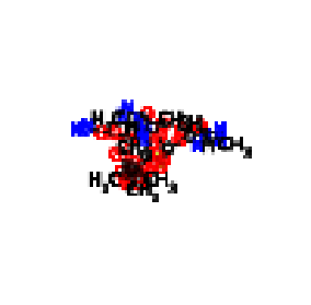 COc1cc2c(cc1OCc1cc(COc3cc4c(cc3OC)C(=O)N3Cc5ncn(C)c5C[C@H]3C=N4)cc(OS(=O)(=O)Oc3cc(C(=O)NCCOCCOCCOCCN=[N+]=[N-])ccc3O[C@@H]3O[C@H](COC(C)=O)[C@H](OC(C)=O)[C@H](OC(C)=O)[C@H]3OC(C)=O)c1)N=C[C@@H]1Cc3c(ncn3C)CN1C2=O